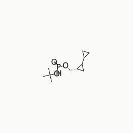 CC(C)(C)O[PH](=O)OC[C@H]1CC1C1CC1